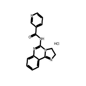 Cl.O=C(NC1=Nc2ccccc2C2=NCCN12)c1cccnc1